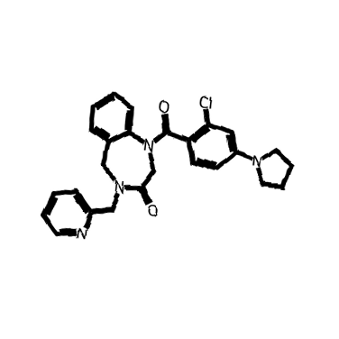 O=C1CN(C(=O)c2ccc(N3CCCC3)cc2Cl)c2ccccc2CN1Cc1ccccn1